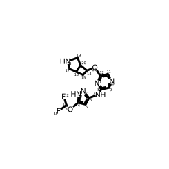 FC(F)Oc1cc(Nc2cncc(OC3CC4CNCC43)n2)n[nH]1